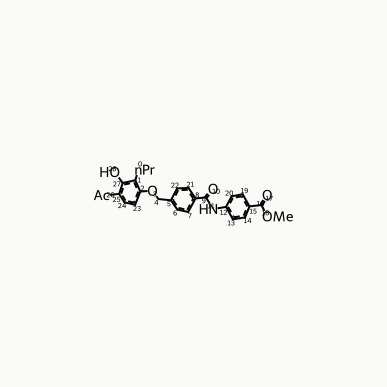 CCCc1c(OCc2ccc(C(=O)Nc3ccc(C(=O)OC)cc3)cc2)ccc(C(C)=O)c1O